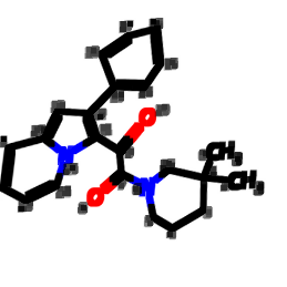 CC1(C)CCCN(C(=O)C(=O)c2c(-c3ccccc3)cc3ccccn23)C1